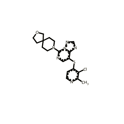 Cc1nccc(Sc2cnc(N3CCC4(CCOC4)CC3)n3ncnc23)c1Cl